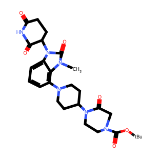 Cn1c(=O)n(C2CCC(=O)NC2=O)c2cccc(N3CCC(N4CCN(C(=O)OC(C)(C)C)CC4=O)CC3)c21